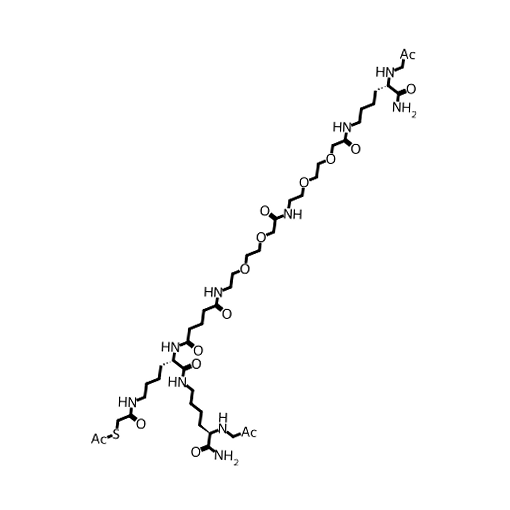 CC(=O)CN[C@@H](CCCCNC(=O)COCCOCCNC(=O)COCCOCCNC(=O)CCCC(=O)N[C@@H](CCCCNC(=O)CSC(C)=O)C(=O)NCCCC[C@@H](NCC(C)=O)C(N)=O)C(N)=O